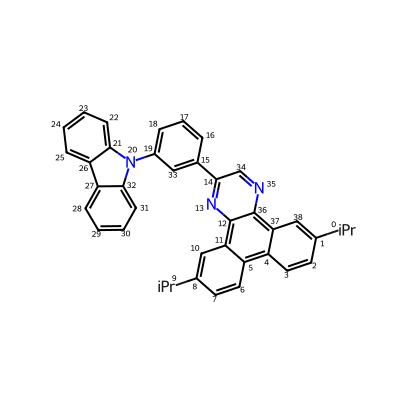 CC(C)c1ccc2c3ccc(C(C)C)cc3c3nc(-c4cccc(-n5c6ccccc6c6ccccc65)c4)cnc3c2c1